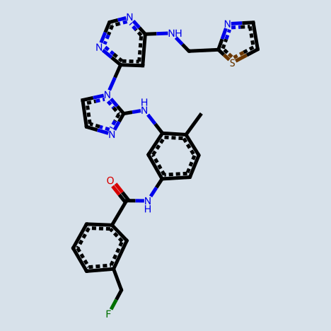 Cc1ccc(NC(=O)c2cccc(CF)c2)cc1Nc1nccn1-c1cc(NCc2nccs2)ncn1